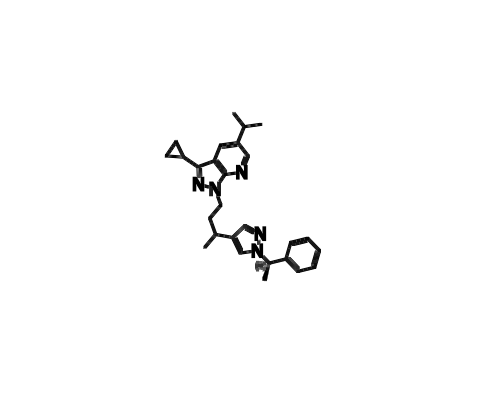 CC(C)c1cnc2c(c1)c(C1CC1)nn2CCC(C)c1cnn([C@H](C)c2ccccc2)c1